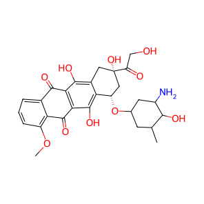 COc1cccc2c1C(=O)c1c(O)c3c(c(O)c1C2=O)C[C@@](O)(C(=O)CO)C[C@@H]3OC1CC(C)C(O)C(N)C1